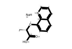 C[C@H](Oc1cccc2cccnc12)C(=O)O.[NaH]